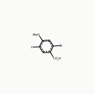 COc1cc(Br)c(C(=O)O)cc1F